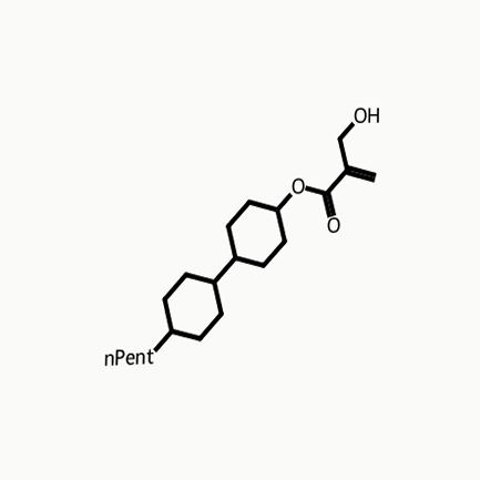 C=C(CO)C(=O)OC1CCC(C2CCC(CCCCC)CC2)CC1